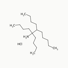 CCCCCC(CCCC)C(N)(CCCC)CCCC.Cl